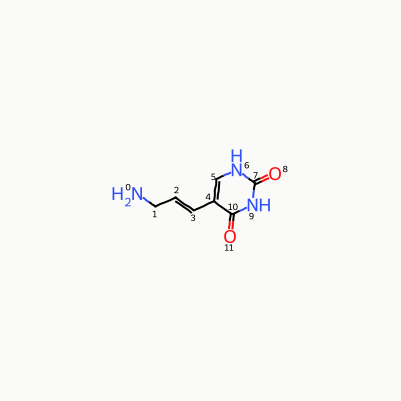 NCC=Cc1c[nH]c(=O)[nH]c1=O